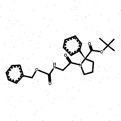 CC(C)(C)OC(=O)[C@]1(c2ccccc2)CCCN1C(=O)CNC(=O)OCc1ccccc1